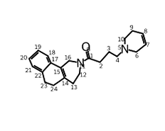 O=C(CCCN1CC=CCC1)N1CCC2=C(C1)c1ccccc1CC2